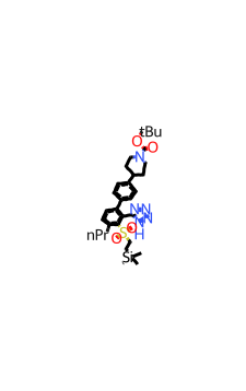 CCCc1ccc(-c2ccc(C3CCN(C(=O)OC(C)(C)C)CC3)cc2)c(-c2nnn[nH]2)c1S(=O)(=O)CC[Si](C)(C)C